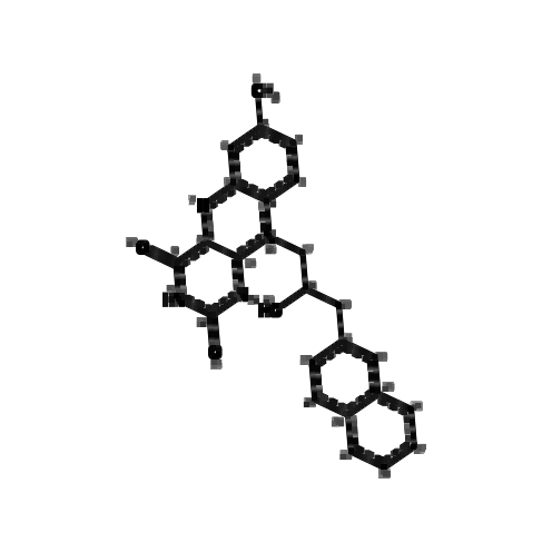 Cc1ccc2c(c1)nc1c(=O)[nH]c(=O)nc-1n2CC(O)Cc1ccc2ccccc2c1